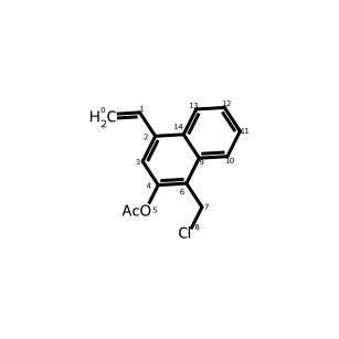 C=Cc1cc(OC(C)=O)c(CCl)c2ccccc12